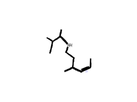 C/C=C\C(C)CCNC(C)C(C)C